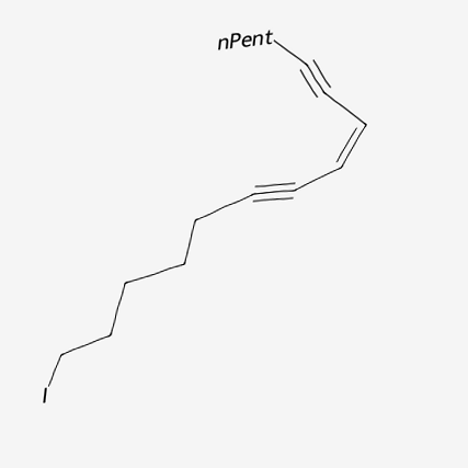 CCCCCC#C/C=C\C#CCCCCCI